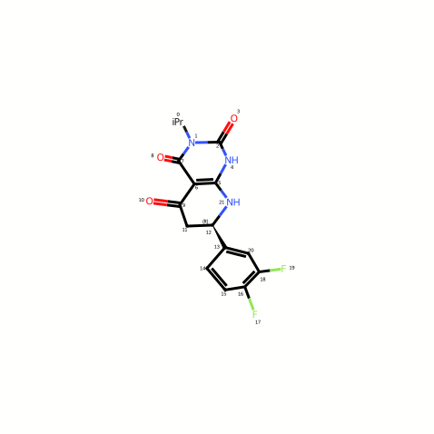 CC(C)n1c(=O)[nH]c2c(c1=O)C(=O)C[C@H](c1ccc(F)c(F)c1)N2